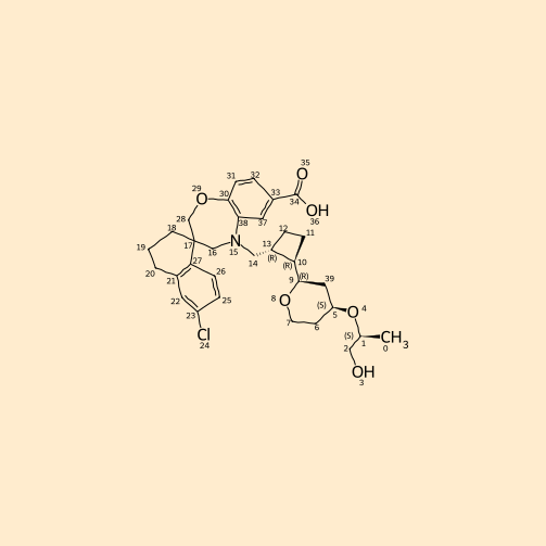 C[C@@H](CO)O[C@H]1CCO[C@@H]([C@@H]2CC[C@H]2CN2CC3(CCCc4cc(Cl)ccc43)COc3ccc(C(=O)O)cc32)C1